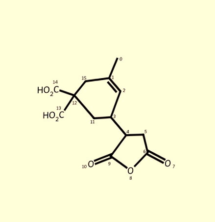 CC1=CC(C2CC(=O)OC2=O)CC(C(=O)O)(C(=O)O)C1